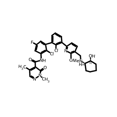 COc1nc(-c2cccc(-c3cc(F)cc(NC(=O)c4c(C)cnn(C)c4=O)c3Cl)c2Cl)ccc1CN[C@@H]1CCCC[C@@H]1O